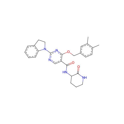 Cc1ccc(COc2nc(N3CCc4ccccc43)ncc2C(=O)NC2CCCNC2=O)cc1C